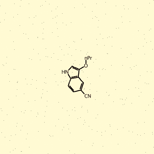 CCCOc1c[nH]c2ccc(C#N)cc12